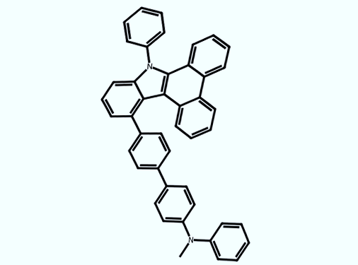 CN(c1ccccc1)c1ccc(-c2ccc(-c3cccc4c3c3c5ccccc5c5ccccc5c3n4-c3ccccc3)cc2)cc1